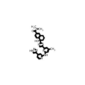 Cc1cc(Nc2cc(-c3c[nH]nn3)ccn2)nc(-c2cnc([C@@]3(O)CCCc4cc(C(=O)N(C)C)ccc43)s2)c1